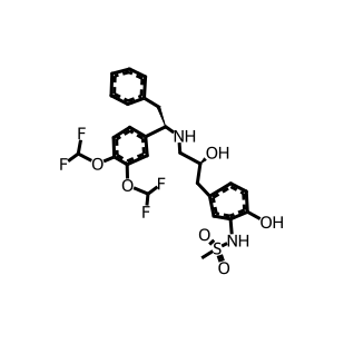 CS(=O)(=O)Nc1cc(C[C@H](O)CN[C@H](Cc2ccccc2)c2ccc(OC(F)F)c(OC(F)F)c2)ccc1O